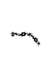 FC(F)(F)Oc1ccc(/C=C/c2nc(CNc3ccc(COCCn4ccnn4)cc3)co2)cc1